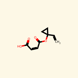 C=CC1(OC(=O)/C=C\C(=O)O)CC1